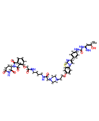 CC(C)(C)/C(O)=C/C(=N)NC(=O)Nc1ccc(-c2cn3c(n2)sc2cc(OCCN4CCN(CC(=O)NCCCCNC(=O)COc5cccc6c5C(=O)N(C5CCC(=O)NC5=O)C6=O)CC4)ccc23)cc1